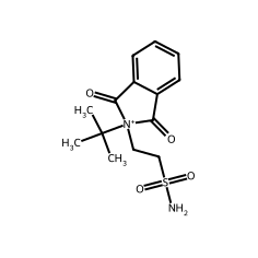 CC(C)(C)[N+]1(CCS(N)(=O)=O)C(=O)c2ccccc2C1=O